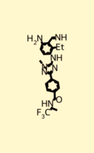 CCc1c(Nc2nc(-c3ccc(C(=O)NC(C)C(F)(F)F)cc3)nn2C)ccc(N)c1C=N